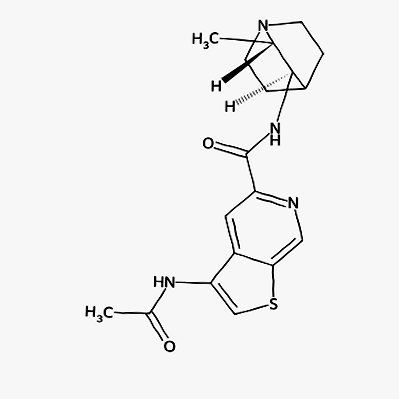 CC(=O)Nc1csc2cnc(C(=O)N[C@@H]3C4CCN(CC4)[C@H]3C)cc12